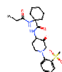 CC(C)CC(=O)NC1(C(=O)NC2CCN(c3ccccc3S(C)(=O)=O)CC2=O)CCCCC1